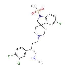 CNC[C@@H](CCN1CCC2(CC1)CN(S(C)(=O)=O)c1ccc(F)cc12)c1ccc(Cl)c(Cl)c1